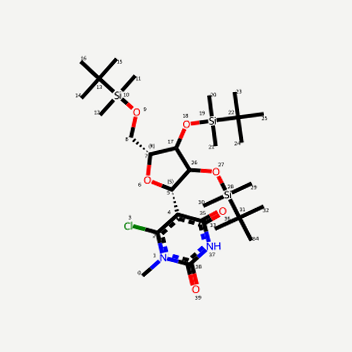 Cn1c(Cl)c([C@@H]2O[C@H](CO[Si](C)(C)C(C)(C)C)C(O[Si](C)(C)C(C)(C)C)C2O[Si](C)(C)C(C)(C)C)c(=O)[nH]c1=O